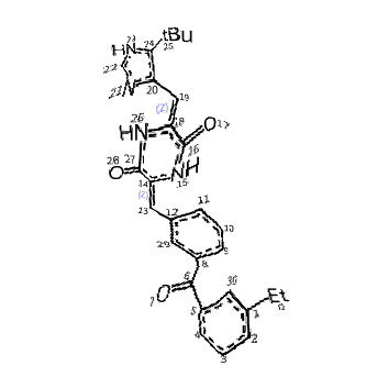 CCc1cccc(C(=O)c2cccc(/C=c3\[nH]c(=O)/c(=C/c4nc[nH]c4C(C)(C)C)[nH]c3=O)c2)c1